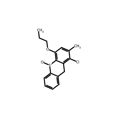 CCCOc1cc(C)c(Cl)c2c1[S+]([O-])c1ccccc1C2